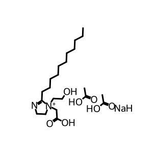 CC(=O)O.CC(=O)O.CCCCCCCCCCCC1=NCC[N+]1(CCO)CC(=O)O.[NaH]